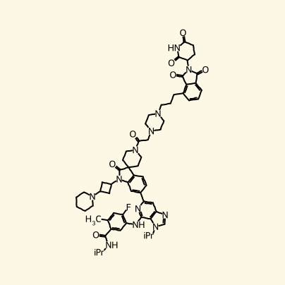 Cc1cc(F)c(Nc2nc(-c3ccc4c(c3)N(C3CC(N5CCCCC5)C3)C(=O)C43CCN(C(=O)CN4CCN(CCCc5cccc6c5C(=O)N(C5CCC(=O)NC5=O)C6=O)CC4)CC3)cc3ncn(C(C)C)c23)cc1C(=O)NC(C)C